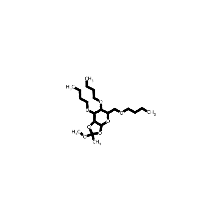 CCCCOCC1OC2OC(C)(OC)OC2C(OCCCC)C1OCCCC